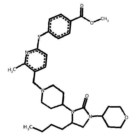 CCCCC1CN(C2CCOCC2)C(=O)N1C1CCN(Cc2ccc(Sc3ccc(C(=O)OC)cc3)nc2C)CC1